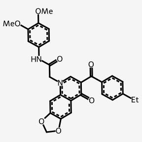 CCc1ccc(C(=O)c2cn(CC(=O)Nc3ccc(OC)c(OC)c3)c3cc4c(cc3c2=O)OCO4)cc1